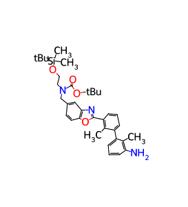 Cc1c(N)cccc1-c1cccc(-c2nc3cc(CN(CCO[Si](C)(C)C(C)(C)C)C(=O)OC(C)(C)C)ccc3o2)c1C